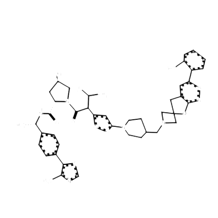 Cc1ncsc1-c1ccc([C@H](C)NC(=O)[C@@H]2C[C@@H](O)CN2C(=O)C(c2cc(N3CCC(CN4CC5(Cc6cc(-c7ccccc7O)nnc6N5)C4)CC3)no2)C(C)C)cc1